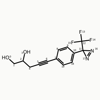 OCC(O)CC#Cc1ccc(C2(C(F)(F)F)N=N2)cc1